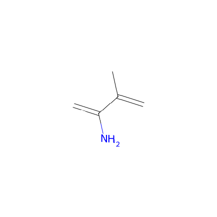 C=C(C)C(=C)N